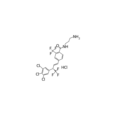 Cl.NCCCNC(=O)c1ccc(/C=C/[C@H](c2cc(Cl)c(Cl)c(Cl)c2)C(F)(F)F)cc1C(F)(F)F